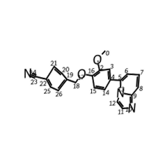 COc1cc(-c2cccc3nccn23)ccc1OCc1ccc(C#N)cc1